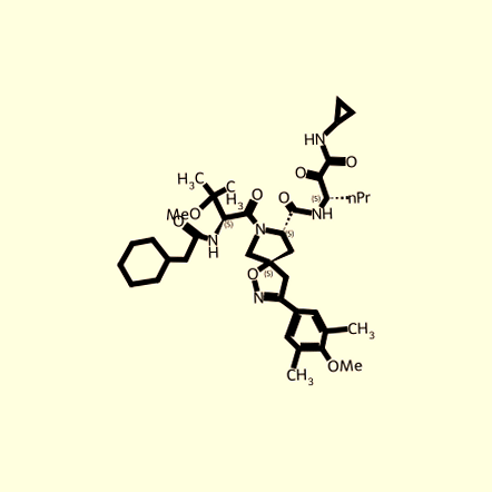 CCC[C@H](NC(=O)[C@@H]1C[C@]2(CC(c3cc(C)c(OC)c(C)c3)=NO2)CN1C(=O)[C@@H](NC(=O)CC1CCCCC1)C(C)(C)OC)C(=O)C(=O)NC1CC1